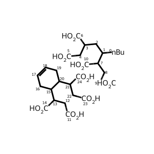 CCCCC(CC(CC(=O)O)C(=O)O)C(CC(=O)O)C(=O)O.O=C(O)CC(C(=O)O)C1CC=CCC1C(CC(=O)O)C(=O)O